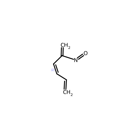 C=C/C=C\C(=C)N=O